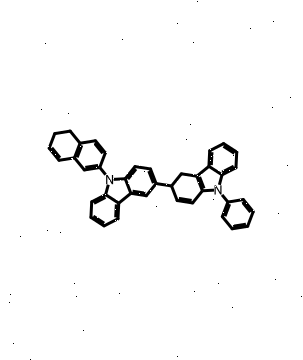 C1=Cc2cc(-n3c4ccccc4c4cc(C5C=Cc6c(c7ccccc7n6-c6ccccc6)C5)ccc43)ccc2CC1